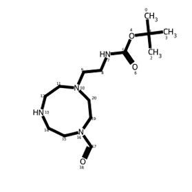 CC(C)(C)OC(=O)NCCN1CCNCCN(C=O)CC1